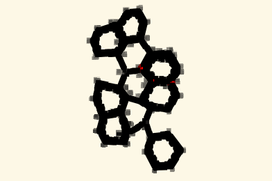 CN(c1ccccc1)c1ccc2ccccc2c1-c1c(N(c2ccccc2)c2ccccc2-c2ccccc2)ccc2ccccc12